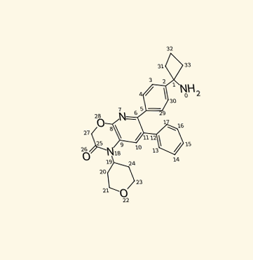 NC1(c2ccc(-c3nc4c(cc3-c3ccccc3)N(C3CCOCC3)C(=O)CO4)cc2)CCC1